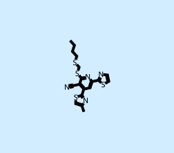 CCCCSCSc1nc(-c2nccs2)cc(-c2nc(C)cs2)c1C#N